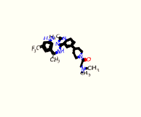 Cc1nc(N[C@H](C)c2cc(N)cc(C(F)(F)F)c2)c2cc(C3CCN(C(=O)CN(C)C)CC3)ccc2n1